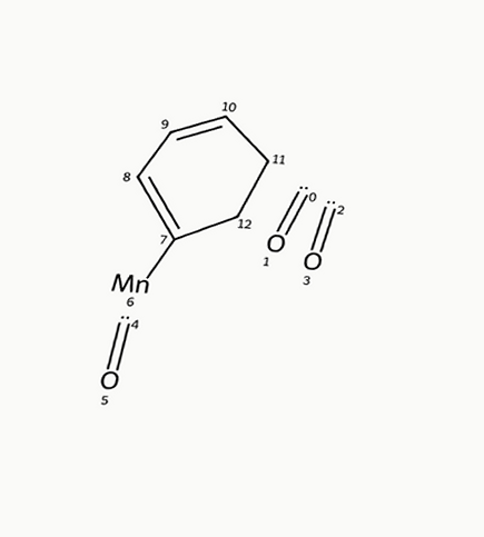 [C]=O.[C]=O.[C]=O.[Mn][C]1=CC=CCC1